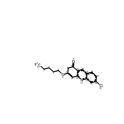 O=C1CC(OCCCCC(F)(F)F)=Cc2nc3cc(Cl)ccc3cc21